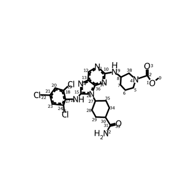 COC(=O)N1CCCC(Nc2ncc3nc(Nc4c(Cl)cc(Cl)cc4Cl)n(C4CCC(C(N)=O)CC4)c3n2)C1